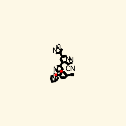 C#Cc1ccc(CN2C3CC2CN(c2ccc(-c4cc(-c5cnn(C)c5)cn5ncc(C#N)c45)cn2)C3)cc1